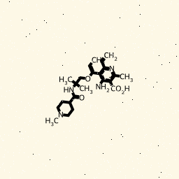 C=Cc1nc(C)c(C(=O)O)c(N)c1/C(=C\C)OCC(C)(C)NC(=O)C1CCN(C)CC1